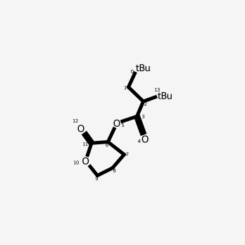 CC(C)(C)CC(C(=O)OC1CCCOC1=O)C(C)(C)C